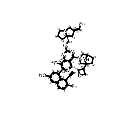 C#Cc1c(F)ccc2cc(O)cc(-c3ncc4c(N5CC6CCC(C7COC7)(C5)N6)nc(OC[C@@]56CCCN5C/C(=C\F)C6)nc4c3F)c12